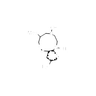 CSC1CCOc2cc(C(F)(F)F)cnc2N(C)CCN(C)C1